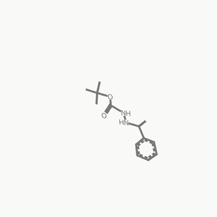 CC(NNC(=O)OC(C)(C)C)c1ccccc1